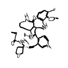 C=CC(=O)N[C@]1(C#Cc2cnccc2-c2[nH]c3c(c2Nc2cccc(F)c2OC)C(=O)NCC3)CCOC1